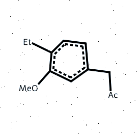 CCc1ccc(CC(C)=O)cc1OC